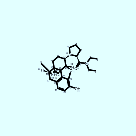 CCN(CC)C(=O)[C@@H]1CCCN1[C@@H]1CC[C@H]2[C@H]3Cc4ccc(O)c5c4[C@@]2(CCN3C)[C@H]1O5